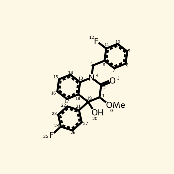 COC1C(=O)N(Cc2ccccc2F)c2ccccc2C1(O)c1ccc(F)cc1